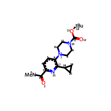 CNC(=O)c1ccc(N2CCN(C(=O)OC(C)(C)C)CC2)c(C2CC2)n1